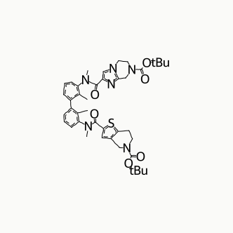 Cc1c(-c2cccc(N(C)C(=O)c3cc4c(s3)CCN(C(=O)OC(C)(C)C)C4)c2C)cccc1N(C)C(=O)c1cn2c(n1)CN(C(=O)OC(C)(C)C)CC2